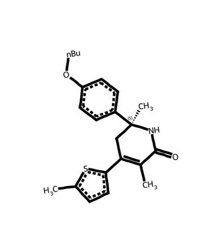 CCCCOc1ccc([C@]2(C)CC(c3ccc(C)s3)=C(C)C(=O)N2)cc1